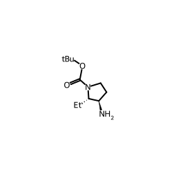 CC[C@H]1[C@H](N)CCN1C(=O)OC(C)(C)C